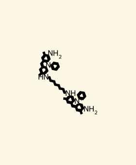 CC1=CC2=Cc3cc(C)c(N)cc3N(c3ccccc3)C2C=C1NCCCCCCCCNc1cc2c(cc1C)cc1cc(C)c(N)cc1[n+]2-c1ccccc1